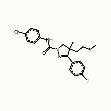 CSCCC1(C)CN(C(=O)Nc2ccc(Cl)cc2)N=C1c1ccc(Cl)cc1